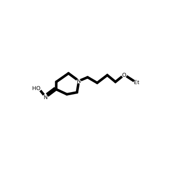 CCOCCCCN1CCC(=NO)CC1